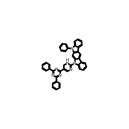 C1=C(c2nc(-c3ccccc3)nc(-c3ccccc3)n2)CNC(n2c3ccccc3c3cc4c5ccccc5n(-c5ccccc5)c4cc32)=N1